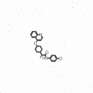 C[C@H](C(=O)Nc1ccc(Cl)cc1)C1CCC(Oc2ccnc3ccccc23)CC1